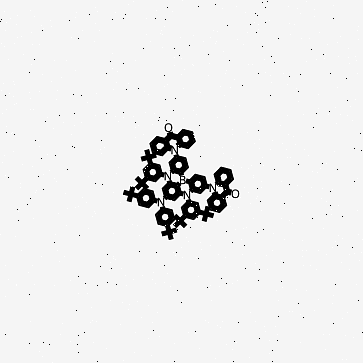 CC(C)(C)c1ccc(N(c2ccc(C(C)(C)C)cc2)c2cc3c4c(c2)N(c2cc(C(C)(C)C)cc(C(C)(C)C)c2)c2cc(-n5c6ccccc6c(=O)c6ccccc65)ccc2B4c2ccc(-n4c5ccccc5c(=O)c5ccccc54)cc2N3c2cc(C(C)(C)C)cc(C(C)(C)C)c2)cc1